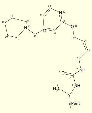 CCCCCC(C)NC(=O)NC/C=C\COc1cc(CN2CCCCC2)ccn1